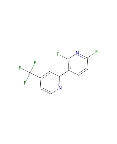 Fc1ccc(-c2cc(C(F)(F)F)ccn2)c(F)n1